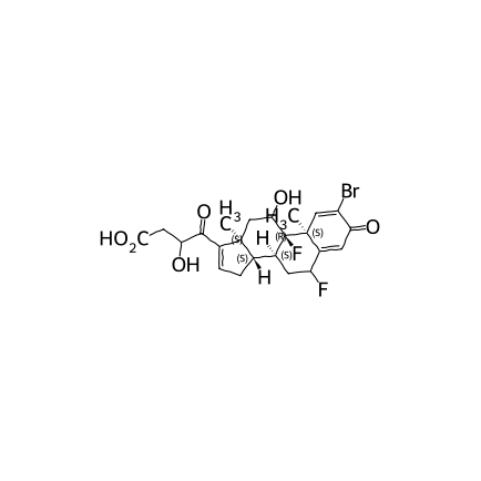 C[C@]12C=C(Br)C(=O)C=C1C(F)C[C@H]1[C@@H]3CC=C(C(=O)C(O)CC(=O)O)[C@@]3(C)CC(O)[C@@]12F